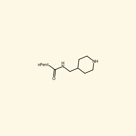 CCCCCC(=O)NCC1CCNCC1